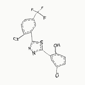 Oc1ccc(Cl)cc1-c1nnc(-c2cc(C(F)(F)F)ccc2Cl)s1